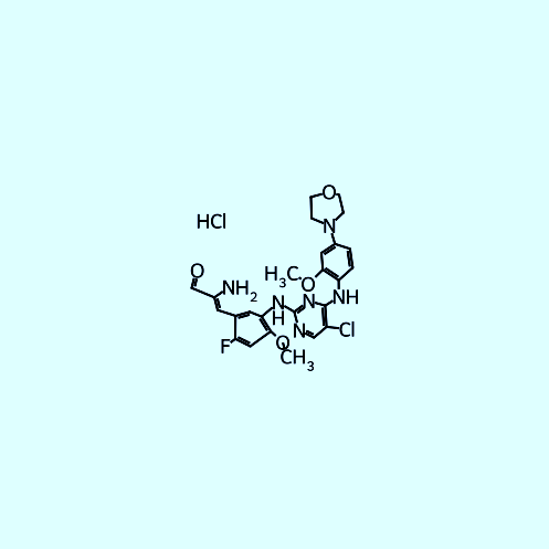 COc1cc(F)c(C=C(N)C=O)cc1Nc1ncc(Cl)c(Nc2ccc(N3CCOCC3)cc2OC)n1.Cl